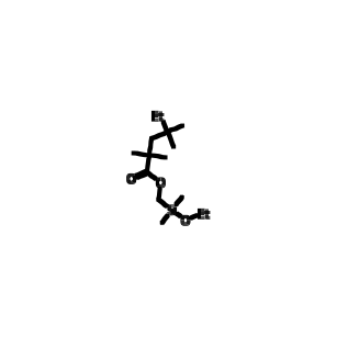 CCO[Si](C)(C)COC(=O)C(C)(C)CC(C)(C)CC